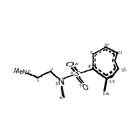 CNCCN(C)S(=O)(=O)c1ccccc1C